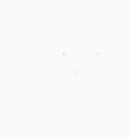 C=CCN(CC=C)C/C(=N/O)c1ccccc1F